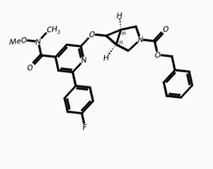 CON(C)C(=O)c1cc(OC2[C@H]3CN(C(=O)OCc4ccccc4)C[C@@H]23)nc(-c2ccc(F)cc2)c1